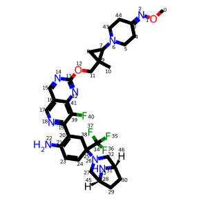 CON=C1CCN(C2CC2(C)COc2ncc3cnc(C4=C(N)C=CC(N5C[C@H]6CC[C@@H](C5)N6)(C(F)(F)F)C4)c(F)c3n2)CC1